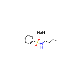 CCCCNS(=O)(=O)c1ccccc1.[NaH]